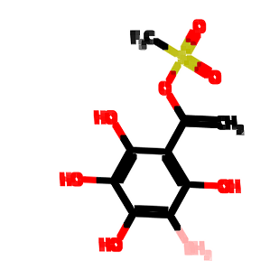 Bc1c(O)c(O)c(O)c(C(=C)OS(=O)(=O)C(F)(F)F)c1O